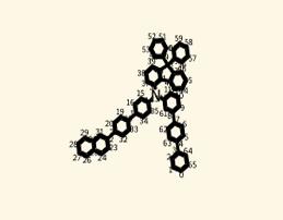 c1ccc(-c2ccc(-c3cccc(N(c4ccc(-c5ccc(-c6ccc7ccccc7c6)cc5)cc4)c4cccc5c4-c4ccccc4C5(c4ccccc4)c4ccccc4)c3)cc2)cc1